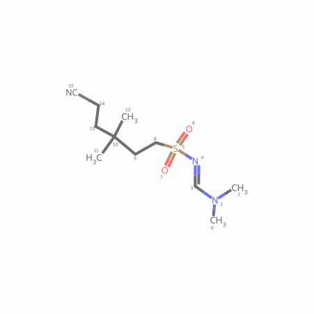 CN(C)C=NS(=O)(=O)CCC(C)(C)CCC#N